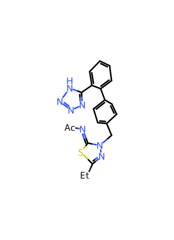 CCc1nn(Cc2ccc(-c3ccccc3-c3nnn[nH]3)cc2)c(=NC(C)=O)s1